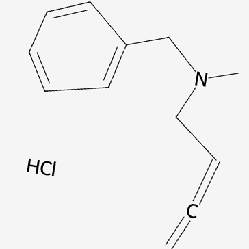 C=C=CCN(C)Cc1ccccc1.Cl